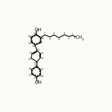 CCCCCCCCc1cc(C2=CCC(c3ccc(O)cc3)C=C2)ccc1O